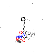 CCCCOC(=O)NC1C(=O)C(C)[C@@](C)(C(=O)O)N1C(=O)CCCCCc1ccccc1